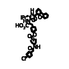 CC(C)C[C@H](NC(=O)c1cccc2c1oc1ccccc12)C(=O)N[C@@H](Cc1ccc(OC(=O)N2CCC(NC(=O)Cc3ccc(Cl)cc3)CC2)cc1)C(=O)O